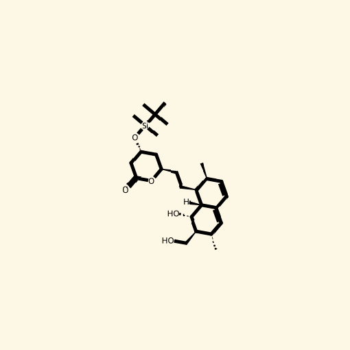 C[C@H]1C=CC2=C[C@H](C)[C@@H](CO)[C@H](O)[C@@H]2[C@H]1CC[C@@H]1C[C@@H](O[Si](C)(C)C(C)(C)C)CC(=O)O1